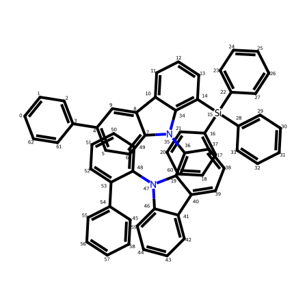 c1ccc(-c2ccc3c(c2)c2cccc([Si](c4ccccc4)(c4ccccc4)c4ccccc4)c2n3-c2cccc3c4ccccc4n(-c4ccccc4-c4ccccc4)c23)cc1